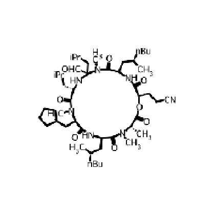 CCCC[C@@H](C)CC1NC(=O)C(CC2CCCC2)N(C)C(=O)[C@H](CC(C)C)N[C@](C=O)(CC(C)C)N(C)C(=O)C(C[C@H](C)CCCC)NC(=O)[C@@H](CCC#N)OC(=O)[C@H](C)N(C)C1=O